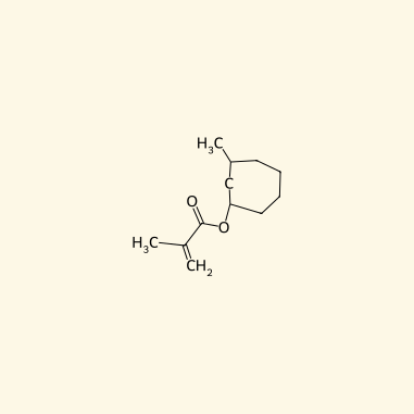 C=C(C)C(=O)OC1CCCCC(C)C1